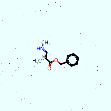 CNC[C@@H](C)C(=O)OCc1ccccc1